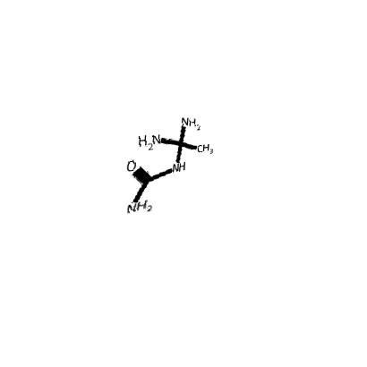 CC(N)(N)NC(N)=O